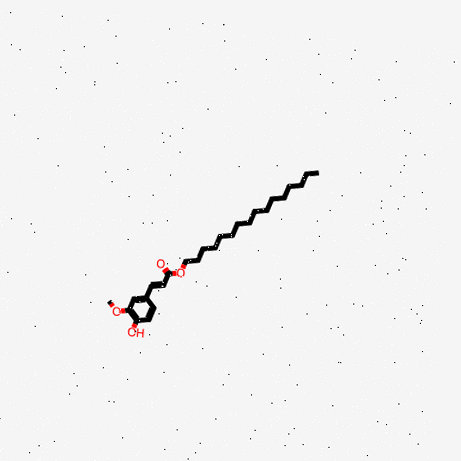 CCCCCCCCCCCCCCCCOC(=O)C=Cc1ccc(O)c(OC)c1